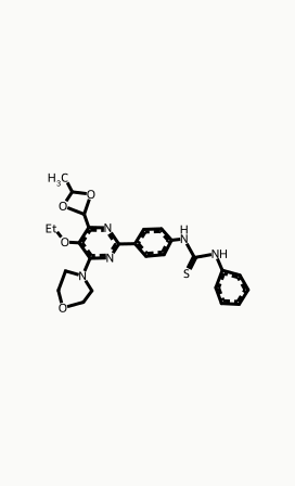 CCOc1c(C2OC(C)O2)nc(-c2ccc(NC(=S)Nc3ccccc3)cc2)nc1N1CCOCC1